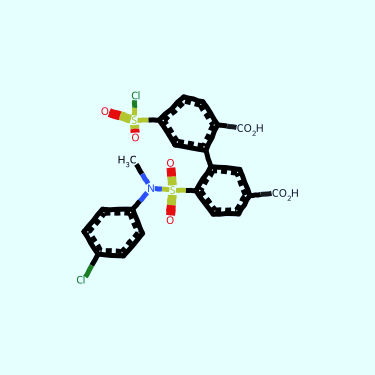 CN(c1ccc(Cl)cc1)S(=O)(=O)c1ccc(C(=O)O)cc1-c1cc(S(=O)(=O)Cl)ccc1C(=O)O